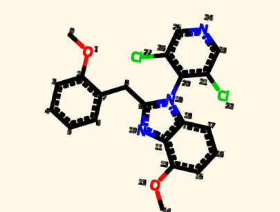 COc1ccccc1Cc1nc2c(OC)cccc2n1-c1c(Cl)cncc1Cl